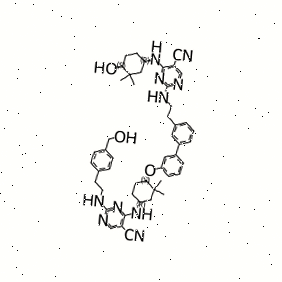 CC1(C)C[C@H](Nc2nc(NCCc3ccc(CO)cc3)ncc2C#N)CC[C@@H]1Oc1cccc(-c2cccc(CCNc3ncc(C#N)c(N[C@@H]4CC[C@H](O)C(C)(C)C4)n3)c2)c1